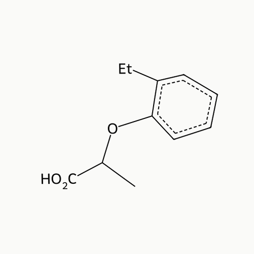 CCc1ccccc1OC(C)C(=O)O